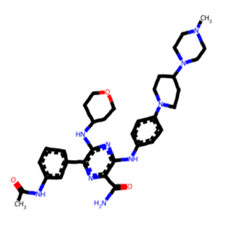 CC(=O)Nc1cccc(-c2nc(C(N)=O)c(Nc3ccc(N4CCC(N5CCN(C)CC5)CC4)cc3)nc2NC2CCOCC2)c1